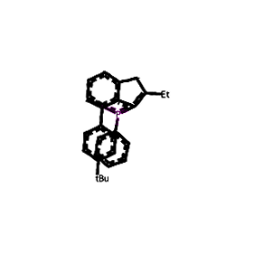 CCC1=c2c3c(ccc(c3-c3ccc(C(C)(C)C)cc3)p2-c2ccccc2)[CH]1